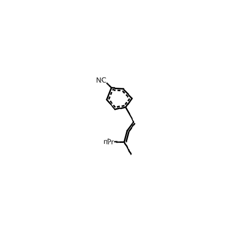 CCCC(C)=C=Cc1ccc(C#N)cc1